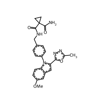 COc1ccc2c(c1)cc(-c1nnc(C)o1)n2-c1ccc(CNC(=O)C2(C(N)=O)CC2)cc1